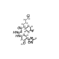 COc1cc(NC(=N)SC(=O)C(CCCCCl)c2ccc(F)cc2)ccc1-c1nc(C)no1